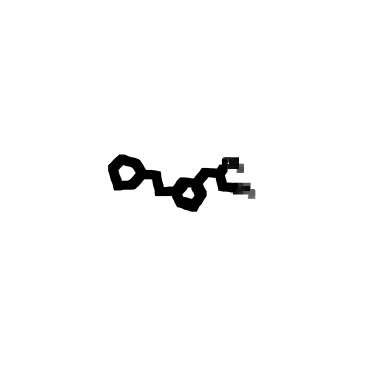 CC(CN)Cc1cccc(CCC2CCCCC2)c1